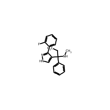 CCC(NC)(c1ccccc1)c1c[nH]nc1-c1ccccc1F